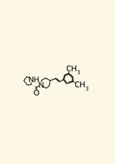 Cc1cc(C)cc(/C=C/C2CCN(C(=O)[C@@H]3CCCN3)CC2)c1